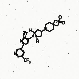 CC(C)n1nc(-c2cncc(C(F)(F)F)c2)cc1[C@H]1[C@@H]2C[C@@H](N3CCC4(CC3)CS(=O)(=O)C4)C[C@@H]21